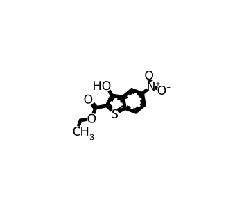 CCOC(=O)c1sc2ccc([N+](=O)[O-])cc2c1O